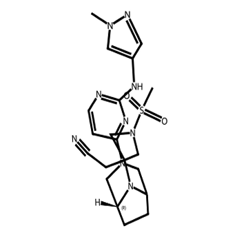 Cn1cc(Nc2nccc(N3CC4CC[C@H](C3)N4C3(CC#N)CN(S(C)(=O)=O)C3)n2)cn1